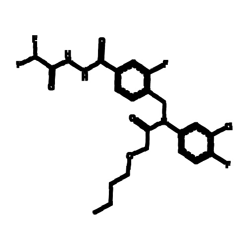 CCCCOCC(=O)N(Cc1ccc(C(=O)NNC(=O)C(F)F)cc1F)c1ccc(F)c(Cl)c1